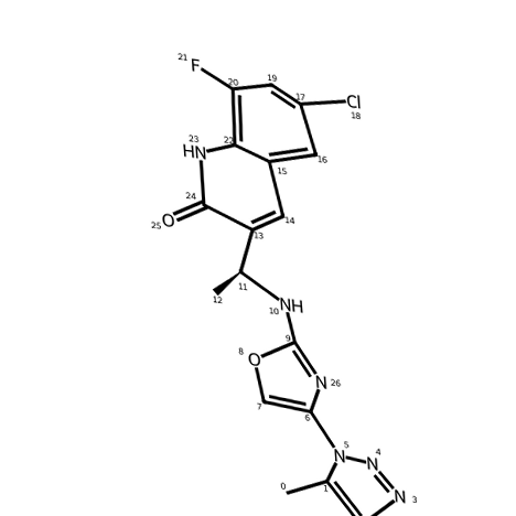 Cc1cnnn1-c1coc(N[C@@H](C)c2cc3cc(Cl)cc(F)c3[nH]c2=O)n1